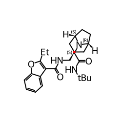 CCc1oc2ccccc2c1C(=O)NC[C@@H]1C[C@H]2CC[C@@H](C1)N2CC(=O)NC(C)(C)C